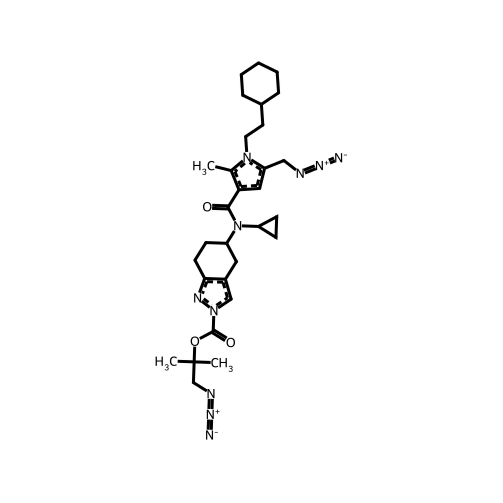 Cc1c(C(=O)N(C2CC2)C2CCc3nn(C(=O)OC(C)(C)CN=[N+]=[N-])cc3C2)cc(CN=[N+]=[N-])n1CCC1CCCCC1